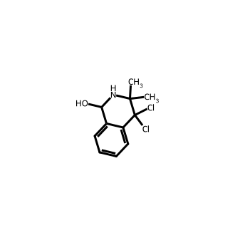 CC1(C)NC(O)c2ccccc2C1(Cl)Cl